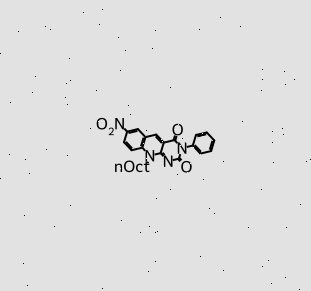 CCCCCCCCn1c2nc(=O)n(-c3ccccc3)c(=O)c-2cc2cc([N+](=O)[O-])ccc21